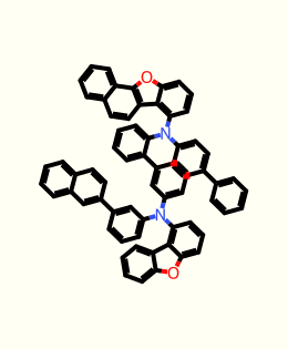 c1ccc(-c2ccc(N(c3ccccc3-c3cccc(N(c4cccc(-c5ccc6ccccc6c5)c4)c4cccc5oc6ccccc6c45)c3)c3cccc4oc5c6ccccc6ccc5c34)cc2)cc1